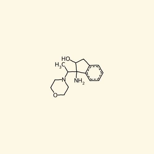 CC(N1CCOCC1)C1(N)c2ccccc2CC1O